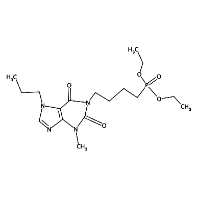 CCCn1cnc2c1c(=O)n(CCCCP(=O)(OCC)OCC)c(=O)n2C